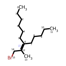 CCCCCC/C(CCCCC)=C(/C)CBr